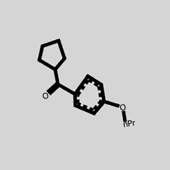 CCCOc1ccc(C(=O)C2CCCC2)cc1